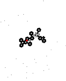 CC1(C)c2ccccc2-c2ccc(-c3nc(-c4ccccc4)nc(-n4c5ccccc5c5c6c7ccccc7n(-c7ccccc7-c7ccc8c9ccccc9c9ccccc9c8c7)c6ccc54)n3)cc21